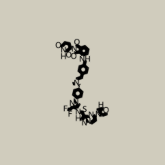 CN(CCC1CCC(CNc2cccc3c2C(=O)N(C2CCC(=O)NC2=O)C3=O)CC1)C[C@H]1CC[C@H](n2cc(NC(=S)c3cnn4ccc(N5C[C@H]6CC5CO6)nc34)c(C(F)F)n2)CC1